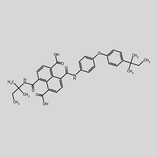 CCC(C)(C)NC(=O)c1ccc(C(=O)O)c2c(C(=O)Nc3ccc(Oc4ccc(C(C)(C)CC)cc4)cc3)ccc(C(=O)O)c12